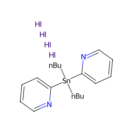 CCC[CH2][Sn]([CH2]CCC)([c]1ccccn1)[c]1ccccn1.I.I.I.I